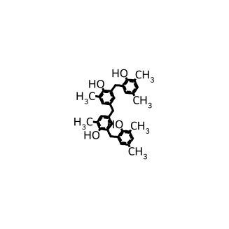 Cc1cc(C)c(O)c(Cc2cc(Cc3cc(C)c(O)c(Cc4cc(C)cc(C)c4O)c3)cc(C)c2O)c1